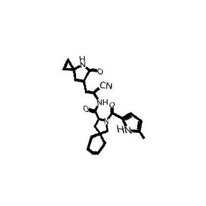 Cc1ccc(C(=O)N2CC3(CCCC3)CC2C(=O)NC(C#N)CC2CC3(CC3)NC2=O)[nH]1